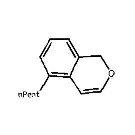 CCCCCc1cccc2c1C=COC2